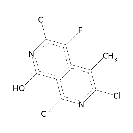 Cc1c(Cl)nc(Cl)c2c(O)nc(Cl)c(F)c12